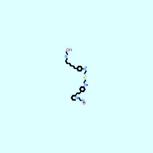 CN(CCSSCCN(C)c1ccc(/C=C/c2cccc[n+]2CCN=O)cc1)c1ccc(/C=C/C=C/C=C\C=N\CCO)cc1